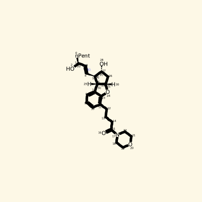 CCCCC[C@H](O)/C=C/[C@@H]1[C@H]2c3cccc(CCCC(=O)N4CCOCC4)c3O[C@H]2C[C@H]1O